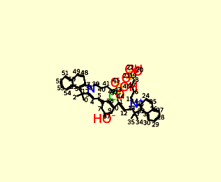 CC1(C)C(=CC=C2CCCC(C=CC3=[N+](CCCCS(=O)(=O)O)c4ccc5ccccc5c4C3(C)C)=C2Cl)N(CCCCS(=O)(=O)O)c2ccc3ccccc3c21.[OH-]